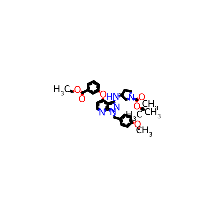 CCOC(=O)c1cccc(Oc2ccnc3c2c(N[C@H]2CCN(C(=O)OC(C)(C)C)C2)nn3Cc2ccc(OC)cc2)c1